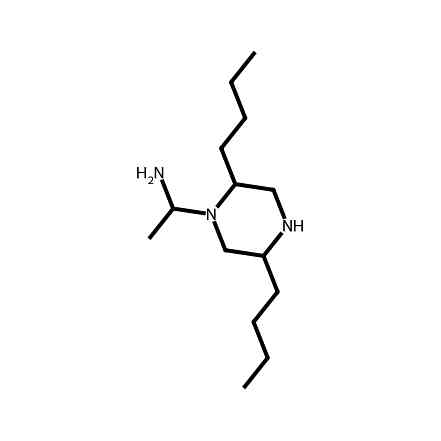 CCCCC1CN(C(C)N)C(CCCC)CN1